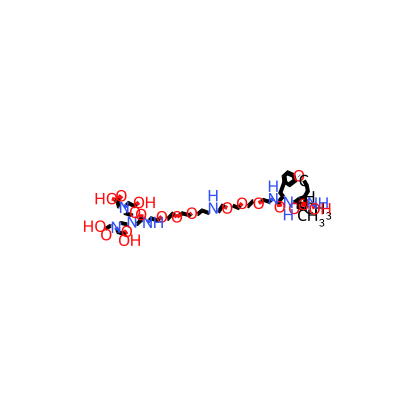 CC(C)C[C@H]1C(=O)NC(C(=O)NCCOCCOCCOCCNCCCOCCOCCOCCNC(=O)CN(CCN(CC(=O)O)CC(=O)O)CCN(CC(=O)O)CC(=O)O)Cc2ccc(cc2)OCCC[C@@H]1C(=O)NO